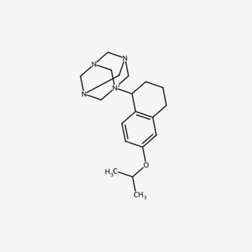 CC(C)Oc1ccc2c(c1)CCCC2[N+]12CN3CN(CN(C3)C1)C2